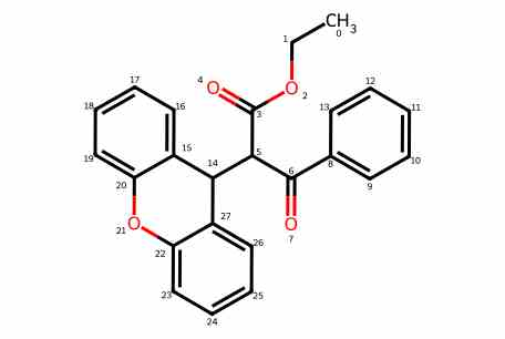 CCOC(=O)C(C(=O)c1ccccc1)C1c2ccccc2Oc2ccccc21